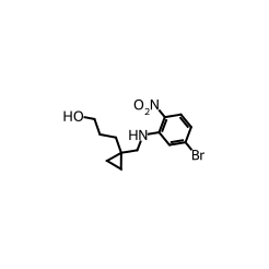 O=[N+]([O-])c1ccc(Br)cc1NCC1(CCCO)CC1